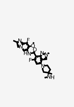 CNC1(C)CCN(c2cc(F)c(C(=O)Nc3cn4cc(C)nc4c(F)c3OC)c3nn(C)cc23)CC1